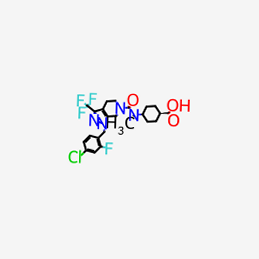 CN(C(=O)N1CCc2c(C(F)(F)F)nn(Cc3ccc(Cl)cc3F)c2C1)[C@H]1CC[C@@H](C(=O)O)CC1